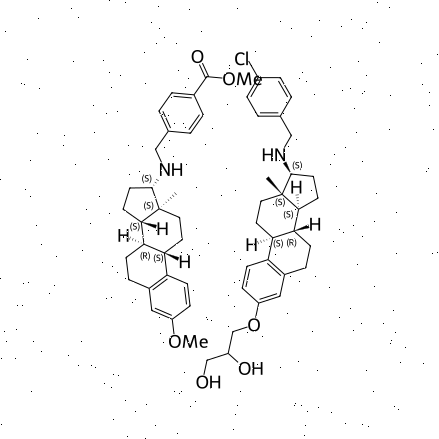 COC(=O)c1ccc(CN[C@H]2CC[C@H]3[C@@H]4CCc5cc(OC)ccc5[C@H]4CC[C@]23C)cc1.C[C@]12CC[C@@H]3c4ccc(OCC(O)CO)cc4CC[C@H]3[C@@H]1CC[C@@H]2NCc1ccc(Cl)cc1